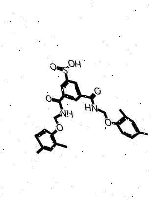 Cc1ccc(OCNC(=O)c2cc(C(=O)NCOc3ccc(C)cc3C)cc(S(=O)O)c2)c(C)c1